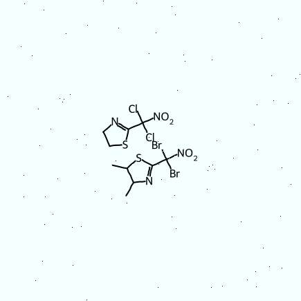 CC1N=C(C(Br)(Br)[N+](=O)[O-])SC1C.O=[N+]([O-])C(Cl)(Cl)C1=NCCS1